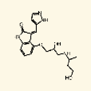 CC(CCO)NCC(O)COc1cccc2c1C(=Cc1ccn[nH]1)C(=O)N2